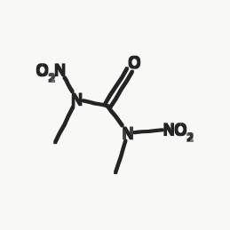 CN(C(=O)N(C)[N+](=O)[O-])[N+](=O)[O-]